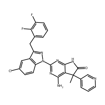 CC1(c2cccnc2)C(=O)Nc2nc(-n3nc(Cc4cccc(F)c4F)c4cc(Cl)ccc43)nc(N)c21